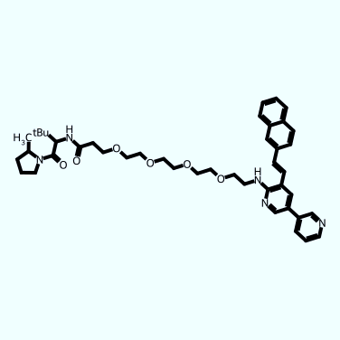 CC1CCCN1C(=O)C(NC(=O)CCOCCOCCOCCOCCNc1ncc(-c2cccnc2)cc1/C=C/c1ccc2ccccc2c1)C(C)(C)C